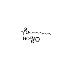 C=C(C)C(=O)OCCCCCCCCCCCC.CC1(O)C=C[N+]1([O-])c1ccccc1